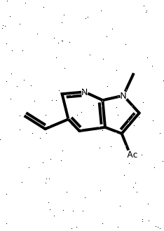 C=Cc1cnc2c(c1)c(C(C)=O)cn2C